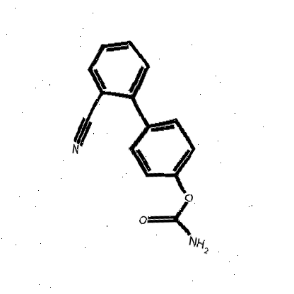 N#Cc1ccccc1-c1ccc(OC(N)=O)cc1